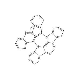 c1ccc(-c2cc(-n3c4ccccc4c4ccc5c6ccccc6n(-c6ccccc6)c5c43)c3ccccc3n2)cc1